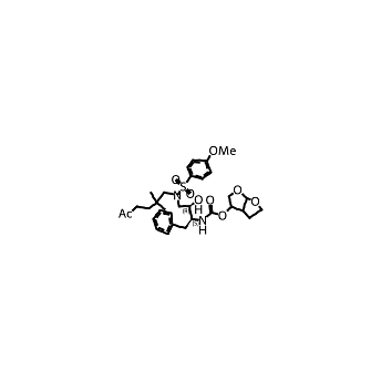 COc1ccc(S(=O)(=O)N(C[C@@H](O)[C@H](Cc2ccccc2)NC(=O)OC2COC3OCCC23)CC(C)(C)CCC(C)=O)cc1